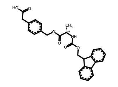 C[C@H](NC(=O)OCC1c2ccccc2-c2ccccc21)C(=O)OCc1ccc(CC(=O)O)cc1